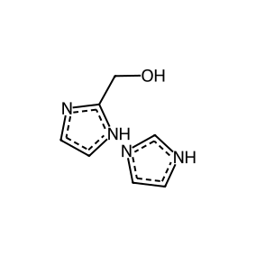 OCc1ncc[nH]1.c1c[nH]cn1